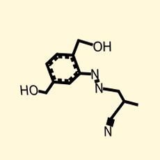 CC(C#N)CN=Nc1cc(CO)ccc1CO